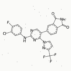 O=C1NC(=O)c2cc(-c3cnc(Nc4ccc(F)c(Cl)c4)nc3-n3ccc(C(F)(F)F)n3)ccc21